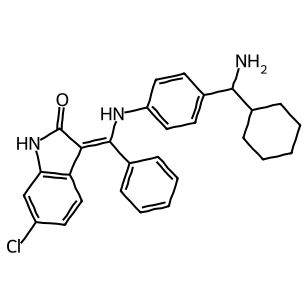 NC(c1ccc(N/C(=C2\C(=O)Nc3cc(Cl)ccc32)c2ccccc2)cc1)C1CCCCC1